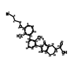 Cc1c(OCCCBr)cccc1-c1cccc(-c2nc3c(s2)CCN(C(=O)O)C3)c1C